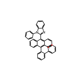 c1ccc(-n2c(-c3c4ccccc4c(-c4ccccc4-c4ccccn4)c4ccccc34)nc3ccccc32)cc1